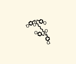 COc1ccc(CN(Cc2ccc(OC)cc2)C(=O)CCCCCCC(=O)N(Cc2ccc(OC)cc2)Cc2ccc(OC)cc2)cc1